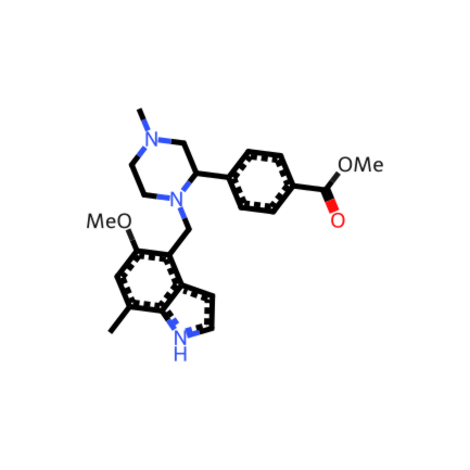 COC(=O)c1ccc(C2CN(C)CCN2Cc2c(OC)cc(C)c3[nH]ccc23)cc1